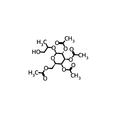 CC(=O)OC[C@H]1O[C@@H](OC(C)CO)[C@H](OC(C)=O)[C@@H](OC(C)=O)[C@H]1OC(C)=O